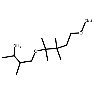 CC(N)C(C)COC(C)(C)C(C)(C)CCOC(C)(C)C